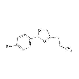 CCCC1COC(c2ccc(Br)cc2)O1